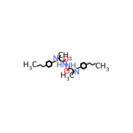 CCCCc1ccc(-c2nc(C)c(C(=O)NNC(=O)c3sc(-c4ccc(CCCC)cc4)nc3C)s2)cc1